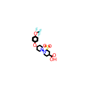 O=C(O)C1CCN(N2CCC(Oc3ccc(OC(F)(F)F)cc3)CC2)C(=S(=O)=O)C1